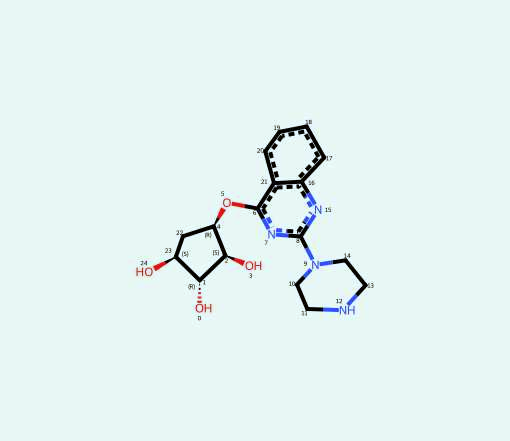 O[C@H]1[C@H](O)[C@H](Oc2nc(N3CCNCC3)nc3ccccc23)C[C@@H]1O